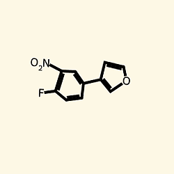 O=[N+]([O-])c1cc(-c2ccoc2)ccc1F